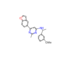 COc1cccc(C(C)Nc2cc(-c3ccc4occc4c3)nc(C)n2)c1